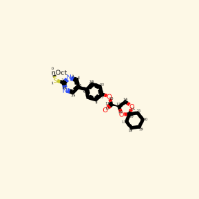 CCCCCCCCSc1ncc(-c2ccc(OC(=O)[C@H]3COC4(CCCCC4)O3)cc2)cn1